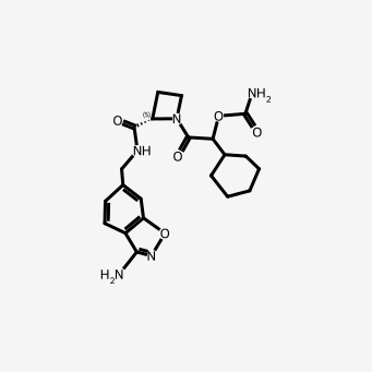 NC(=O)OC(C(=O)N1CC[C@H]1C(=O)NCc1ccc2c(N)noc2c1)C1CCCCC1